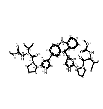 COC(=O)N[C@H](C(=O)N1CCC[C@H]1c1nc(C(=O)c2ccccc2Nc2ccc(-c3c[nH]c([C@@H]4CCCN4C(=O)[C@@H](NC(=O)OC)C(C)C)n3)cc2)c[nH]1)C(C)C